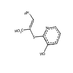 CCCC=C(Sc1ncccc1O)C(=O)O